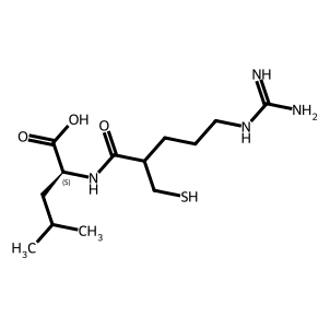 CC(C)C[C@H](NC(=O)C(CS)CCCNC(=N)N)C(=O)O